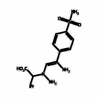 CC(C)C(C(=O)O)N(N)/C=C(\N)c1ccc(S(N)(=O)=O)cc1